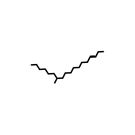 [CH2]C/C=C/CCCCCCCC(C)CCCCC[CH2]